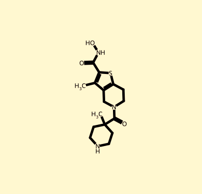 Cc1c(C(=O)NO)sc2c1CN(C(=O)C1(C)CCNCC1)CC2